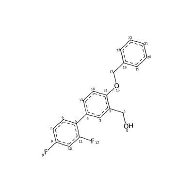 OCc1cc(-c2ccc(F)cc2F)ccc1OCc1ccccc1